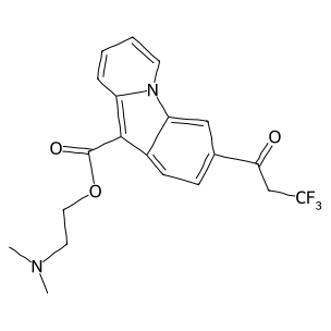 CN(C)CCOC(=O)c1c2ccc(C(=O)CC(F)(F)F)cc2n2ccccc12